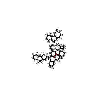 CC1(C)c2ccccc2-c2ccc(N(c3ccc4c(c3)-c3ccccc3C43c4ccccc4OC4=C(N5CC6=C(CC=CC=C6)c6ccccc65)C=CC=CC43)c3ccccc3-c3ccccc3)cc21